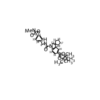 CNS(=O)(=O)c1ccc(CNC(=O)N2CC3(CCCC3)c3cc(B4OC(C)(C)C(C)(C)O4)ccc32)cc1